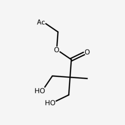 CC(=O)COC(=O)C(C)(CO)CO